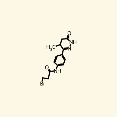 CC1CC(=O)NN=C1c1ccc(NC(=O)CCBr)cc1